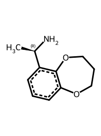 C[C@@H](N)c1cccc2c1OCCCO2